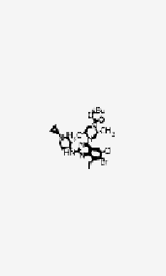 C[C@@H]1CN(c2nc(NC3CCN(C4CC4)CC3)nc3c(F)c(Br)c(Cl)cc23)[C@@H](C)CN1C(=O)OC(C)(C)C